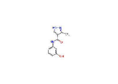 O=C(Nc1cccc(O)c1)c1c[nH]nc1C(F)(F)F